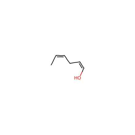 C/C=C\C/C=C\O